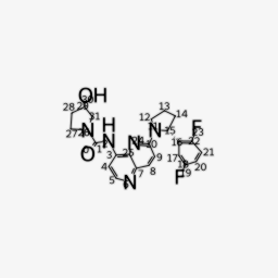 O=C(Nc1ccnc2ccc(N3CCC[C@@H]3c3cc(F)ccc3F)nc12)N1CCC(O)C1